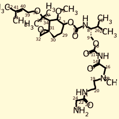 COC1C(OC(=O)N[C@@H](COC(=O)NC(=O)CN(C)CCNC(=O)CN)C(C)C)CC[C@]2(CO2)C1C(C)(C)OCC=C(C)C